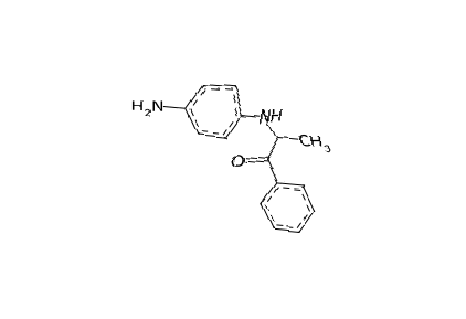 CC(Nc1ccc(N)cc1)C(=O)c1ccccc1